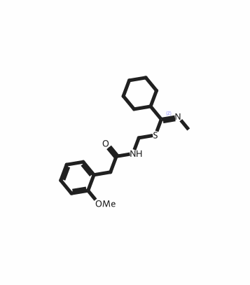 C/N=C(\SCNC(=O)Cc1ccccc1OC)C1CCCCC1